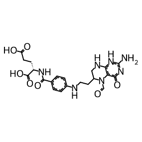 Nc1nc(=O)c2c([nH]1)NCC(CCNc1ccc(C(=O)N[C@@H](CCC(=O)O)C(=O)O)cc1)N2C=O